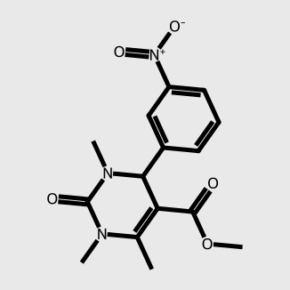 COC(=O)C1=C(C)N(C)C(=O)N(C)C1c1cccc([N+](=O)[O-])c1